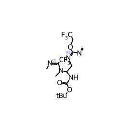 C=N/C(=N\CC(NC(=O)OC(C)(C)C)N(C)/C(=N\C)C(F)(F)F)OCC(F)(F)F